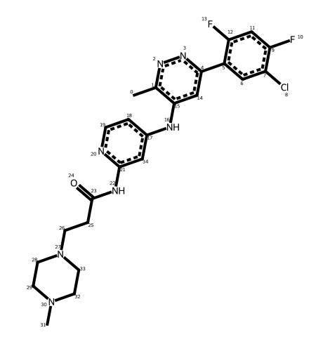 Cc1nnc(-c2cc(Cl)c(F)cc2F)cc1Nc1ccnc(NC(=O)CCN2CCN(C)CC2)c1